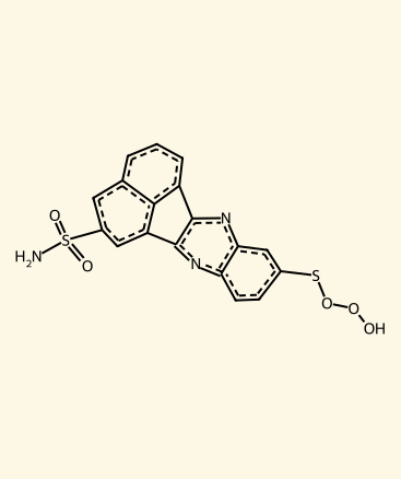 NS(=O)(=O)c1cc2c3c(cccc3c1)-c1nc3cc(SOOO)ccc3nc1-2